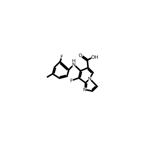 Cc1ccc(Nc2c(C(=O)O)cn3ccnc3c2F)c(F)c1